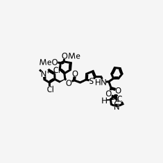 COc1ccc([C@H](Cc2c(Cl)c[n+](C)cc2Cl)OC(=O)Cc2ccc(CNC(C(=O)O[C@H]3CN4CCC3CC4)c3ccccc3)s2)cc1OC